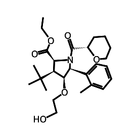 CCOC(=O)[C@@H]1[C@H](C(C)(C)C)[C@H](OCCO)[C@H](c2ccccc2C)N1C(=O)[C@@H]1CCCCO1